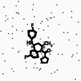 C[C@@H]1C[C@H](Nc2ccc(F)cc2)c2cc(F)ccc2N1C(=O)C1CCCC1